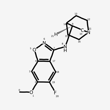 COc1cc2onc(N[C@@H]3CN4CCC3CC4)c2cc1F